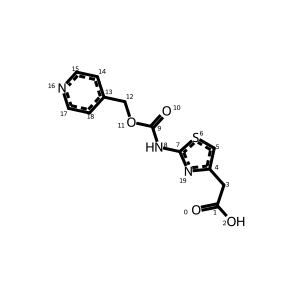 O=C(O)Cc1csc(NC(=O)OCc2ccncc2)n1